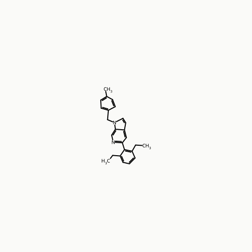 CCc1cccc(CC)c1-c1cc2ccn(Cc3ccc(C)cc3)c2cn1